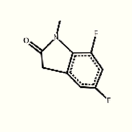 CN1C(=O)Cc2cc(F)cc(F)c21